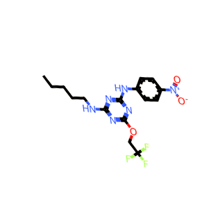 CCCCCNc1nc(Nc2ccc([N+](=O)[O-])cc2)nc(OCC(F)(F)F)n1